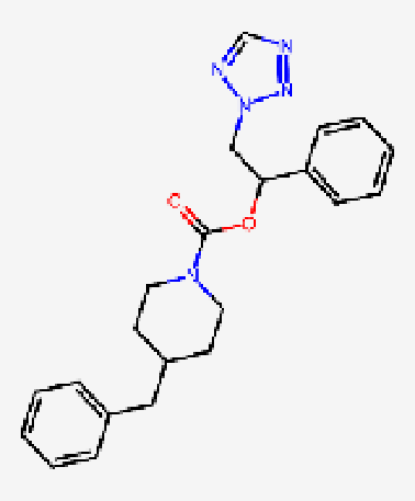 O=C(OC(Cn1ncnn1)c1ccccc1)N1CCC(Cc2ccccc2)CC1